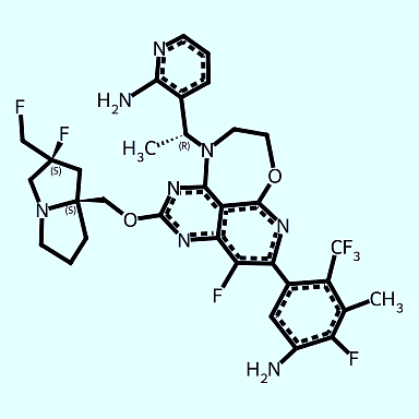 Cc1c(F)c(N)cc(-c2nc3c4c(nc(OC[C@@]56CCCN5C[C@](F)(CF)C6)nc4c2F)N([C@H](C)c2cccnc2N)CCO3)c1C(F)(F)F